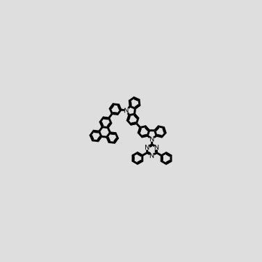 c1ccc(-c2nc(-c3ccccc3)nc(-n3c4ccccc4c4cc(-c5ccc6c(c5)c5ccccc5n6-c5cccc(-c6ccc7c8ccccc8c8ccccc8c7c6)c5)ccc43)n2)cc1